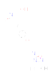 CC(C)c1noc(N2CCC(COc3ccc(C4=CCC(C(=O)N5CCC(CO)C5)CC4)cc3)CC2)n1